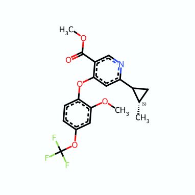 COC(=O)c1cnc(C2C[C@@H]2C)cc1Oc1ccc(OC(F)(F)F)cc1OC